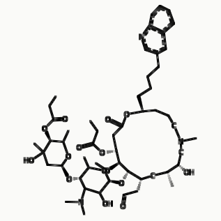 CCC(=O)O[C@@H]1CC(=O)O[C@@H](CCCCc2cnc3ccccc3c2)CCCN(C)C[C@H](O)[C@H](C)C[C@H](CC=O)[C@H](O[C@@H]2OC(C)[C@@H](O[C@H]3CC(C)(O)[C@@H](OC(=O)CC)C(C)O3)C(N(C)C)C2O)[C@H]1OC